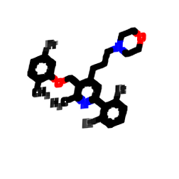 CCc1cccc(CC)c1-c1cc(CCCN2CCOCC2)c(COc2cc(C(C)C)ccc2C)c(C)n1